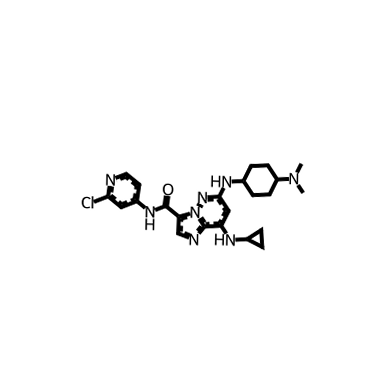 CN(C)C1CCC(Nc2cc(NC3CC3)c3ncc(C(=O)Nc4ccnc(Cl)c4)n3n2)CC1